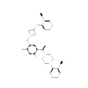 C=C(c1cc(CN2CC(NC3=CCCC=C3C#N)C2)c(C)cc1C)N1CCN(C2=CCCC=C2C#N)CC1